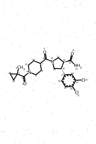 CC1(C(=O)N2CCC(C(=O)N3C[C@@H](C(N)=O)[C@H](c4ccc(Cl)c(Cl)c4)C3)CC2)CC1